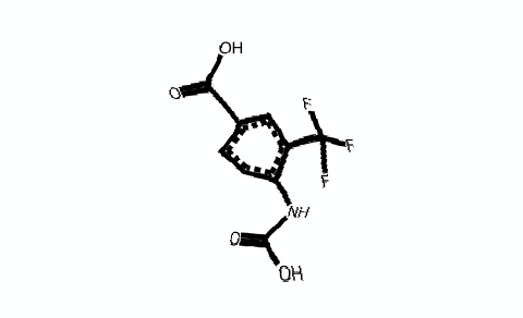 O=C(O)Nc1ccc(C(=O)O)cc1C(F)(F)F